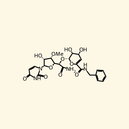 CO[C@H]1[C@@H](O)[C@H](n2ccc(=O)[nH]c2=O)O[C@@H]1[C@@H](O[C@H]1OC(C(=O)NCc2ccccc2)=C[C@H](O)[C@@H]1O)C(N)=O